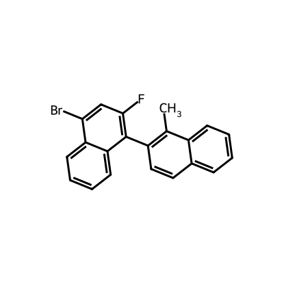 Cc1c(-c2c(F)cc(Br)c3ccccc23)ccc2ccccc12